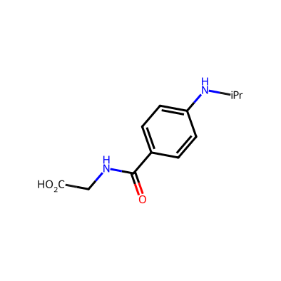 CC(C)Nc1ccc(C(=O)NCC(=O)O)cc1